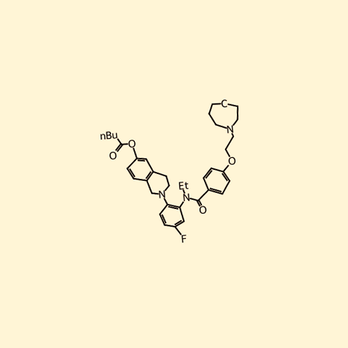 CCCCC(=O)Oc1ccc2c(c1)CCN(c1ccc(F)cc1N(CC)C(=O)c1ccc(OCCN3CCCCCC3)cc1)C2